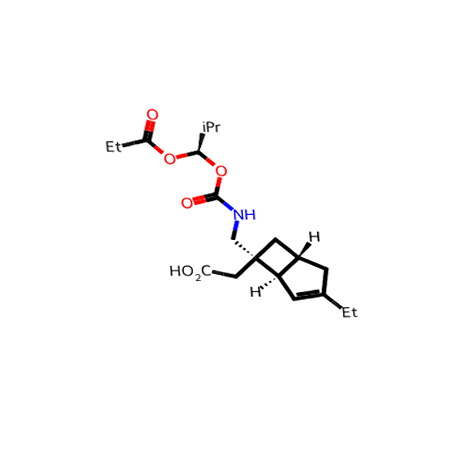 CCC(=O)O[C@H](OC(=O)NC[C@]1(CC(=O)O)C[C@@H]2CC(CC)=C[C@H]21)C(C)C